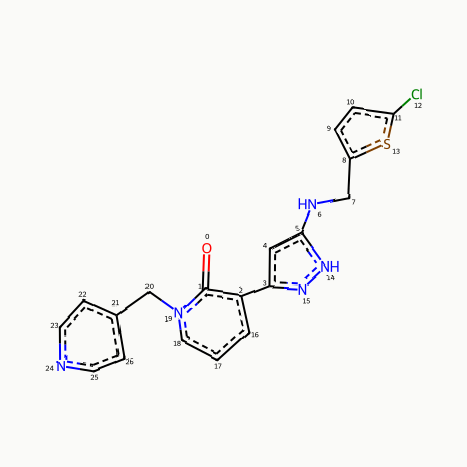 O=c1c(-c2cc(NCc3ccc(Cl)s3)[nH]n2)cccn1Cc1ccncc1